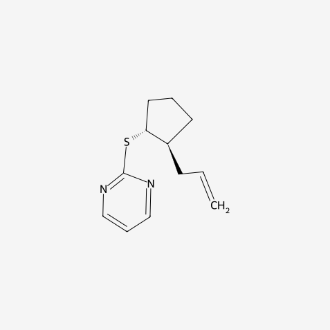 C=CC[C@@H]1CCC[C@H]1Sc1ncccn1